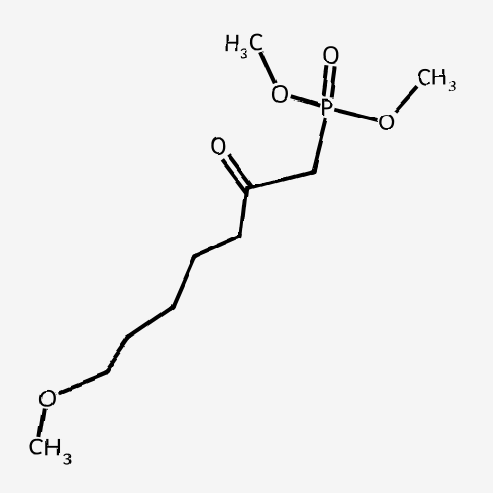 COCCCCCC(=O)CP(=O)(OC)OC